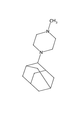 CN1CCN(C2C3CC4CC(C3)CC2C4)CC1